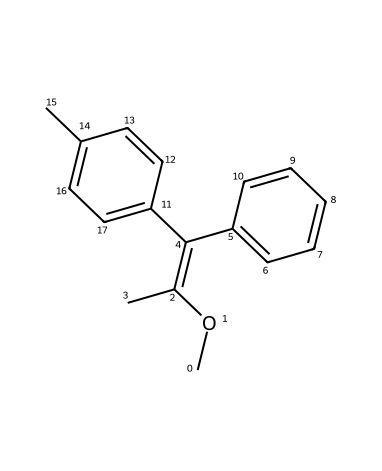 CO/C(C)=C(\c1ccccc1)c1ccc(C)cc1